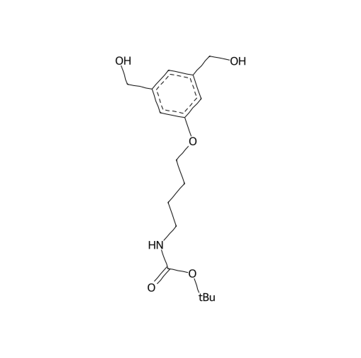 CC(C)(C)OC(=O)NCCCCOc1cc(CO)cc(CO)c1